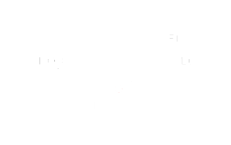 CCC(CC)c1ccc(Oc2ccc(C(=O)O)cc2F)cc1